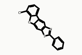 Clc1cccc2c1oc1cc3sc(-c4ccccc4)nc3cc12